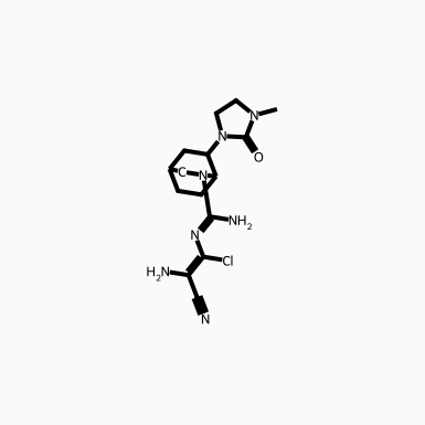 CN1CCN(C2CC3CCC2N(/C(N)=N/C(Cl)=C(\N)C#N)C3)C1=O